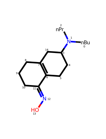 CCCCN(CCC)C1CCC2=C(CCC/C2=N\O)C1